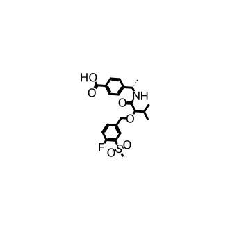 CC(C)C(OCc1ccc(F)c(S(C)(=O)=O)c1)C(=O)N[C@@H](C)c1ccc(C(=O)O)cc1